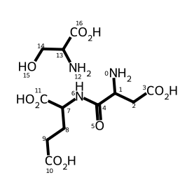 NC(CC(=O)O)C(=O)NC(CCC(=O)O)C(=O)O.NC(CO)C(=O)O